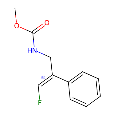 COC(=O)NC/C(=C/F)c1ccccc1